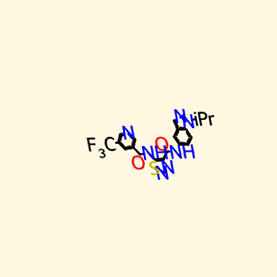 CC(C)n1ncc2cc(NC(=O)c3nnsc3NC(=O)c3cncc(C(F)(F)F)c3)ccc21